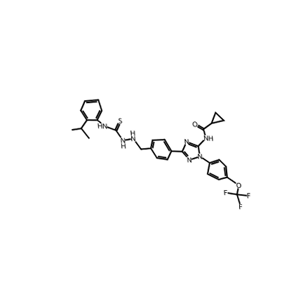 CC(C)c1ccccc1NC(=S)NNCc1ccc(-c2nc(NC(=O)C3CC3)n(-c3ccc(OC(F)(F)F)cc3)n2)cc1